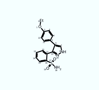 CCOc1ccc(-c2c[nH]nc2-c2ccccc2S(N)(=O)=O)cc1